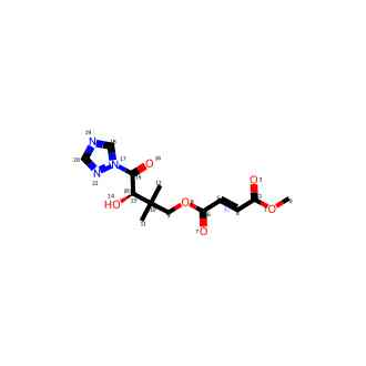 COC(=O)/C=C/C(=O)OCC(C)(C)[C@@H](O)C(=O)n1cncn1